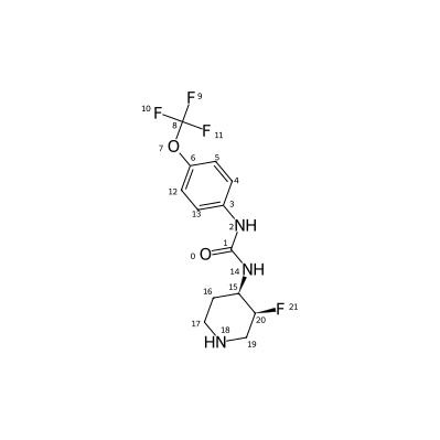 O=C(Nc1ccc(OC(F)(F)F)cc1)N[C@@H]1CCNC[C@@H]1F